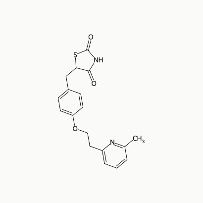 Cc1cccc(CCOc2ccc(CC3SC(=O)NC3=O)cc2)n1